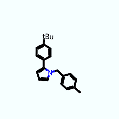 Cc1ccc(Cn2cccc2-c2ccc(C(C)(C)C)cc2)cc1